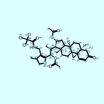 CC(=O)O[C@H]1C[C@@]2(C)[C@@H]3CC[C@H]4[C@H](C)C(=O)C=C[C@@]45C[C@@]35CC[C@]2(C)[C@H]1[C@H](C)[C@@H](OC(C)=O)C1=C(CNC(=O)C(Cl)(Cl)Cl)C(C)CO1